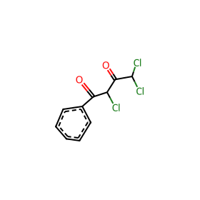 O=C(c1ccccc1)C(Cl)C(=O)C(Cl)Cl